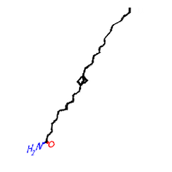 CCCCCCCCCCCCCC12CC(CCCCCCCCCCC(N)=O)(C1)C2